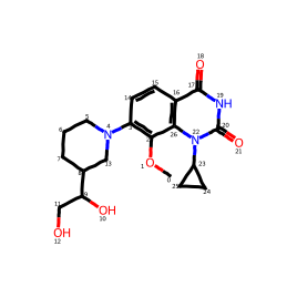 COc1c(N2CCCC(C(O)CO)C2)ccc2c(=O)[nH]c(=O)n(C3CC3)c12